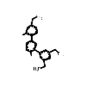 Cc1cc(CP)ccc1-c1ccc(C)c(-c2cc(CP)cc(CP)c2)c1